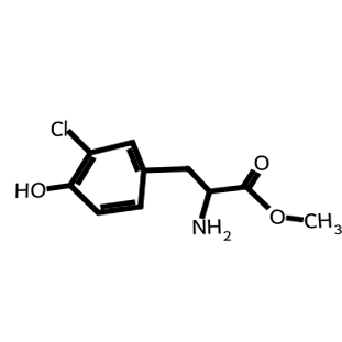 COC(=O)C(N)Cc1ccc(O)c(Cl)c1